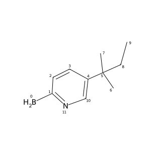 Bc1ccc(C(C)(C)CC)cn1